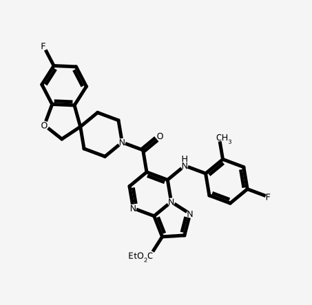 CCOC(=O)c1cnn2c(Nc3ccc(F)cc3C)c(C(=O)N3CCC4(CC3)COc3cc(F)ccc34)cnc12